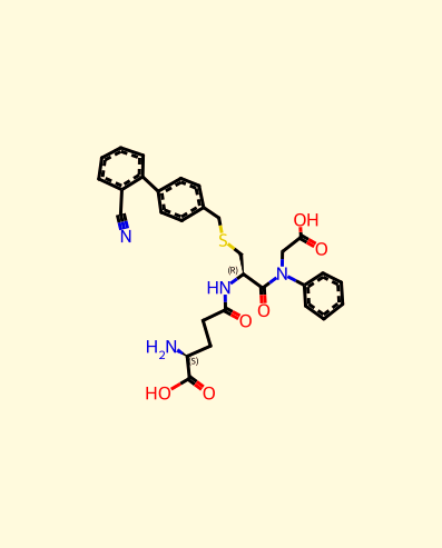 N#Cc1ccccc1-c1ccc(CSC[C@H](NC(=O)CC[C@H](N)C(=O)O)C(=O)N(CC(=O)O)c2ccccc2)cc1